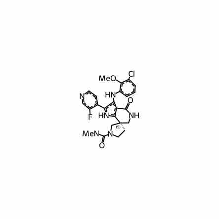 CNC(=O)N1CC[C@]2(CNC(=O)c3c2[nH]c(-c2ccncc2F)c3Nc2cccc(Cl)c2OC)C1